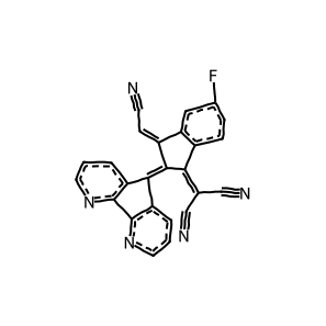 N#C/C=C1/C(=C2c3cccnc3-c3ncccc32)C(=C(C#N)C#N)c2ccc(F)cc21